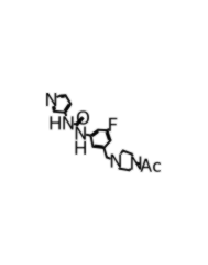 CC(=O)N1CCN(Cc2cc(F)cc(NC(=O)Nc3cccnc3)c2)CC1